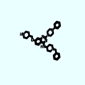 c1ccc(CN2CCC(Nc3nc(N4CCN(c5ccccc5)CC4)nc4cc(OCC5CCNCC5)ccc34)CC2)cc1